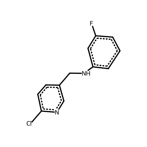 Fc1cccc(NCc2ccc(Cl)nc2)c1